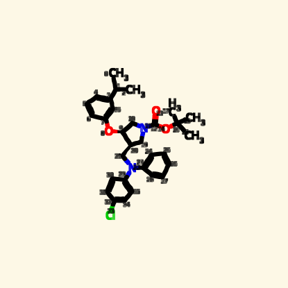 CC(C)c1cccc(O[C@H]2CN(C(=O)OC(C)(C)C)C[C@H]2CN(c2ccccc2)c2ccc(Cl)cc2)c1